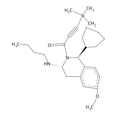 CCCCN[C@H]1Cc2cc(OC)ccc2[C@H](C2CCCCC2)N1C(=O)C#C[Si](C)(C)C